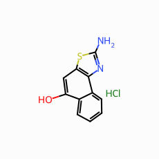 Cl.Nc1nc2c(cc(O)c3ccccc32)s1